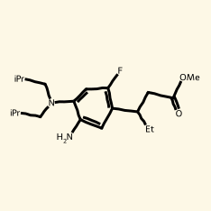 CCC(CC(=O)OC)c1cc(N)c(N(CC(C)C)CC(C)C)cc1F